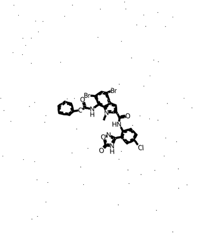 Cn1c(C(=O)Nc2ccc(Cl)cc2-c2noc(=O)[nH]2)cc2c(Br)cc(Br)c(NC(=O)Cc3ccccc3)c21